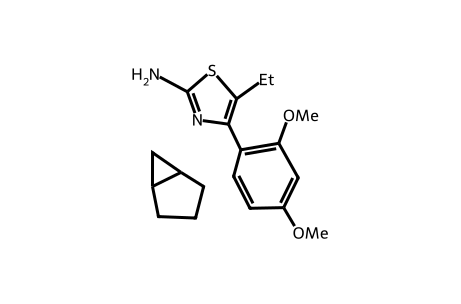 C1CC2CC2C1.CCc1sc(N)nc1-c1ccc(OC)cc1OC